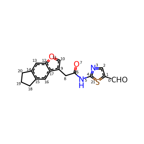 O=Cc1cnc(NC(=O)Cc2coc3cc4c(cc23)CCC4)s1